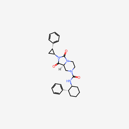 O=C(N[C@H]1CCCC[C@@H]1c1ccccc1)N1CCN2C(=O)N([C@H]3C[C@@H]3c3ccccc3)C(=O)[C@@H]2C1